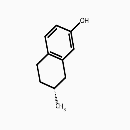 C[C@@H]1CCc2ccc(O)cc2C1